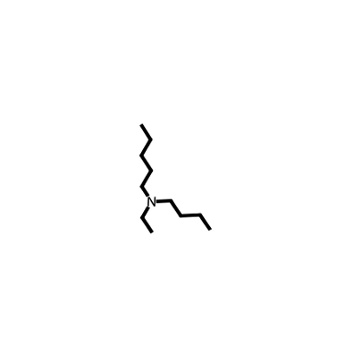 CCCCCN(CC)CCCC